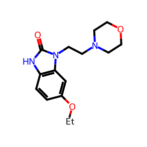 CCOc1ccc2[nH]c(=O)n(CCN3CCOCC3)c2c1